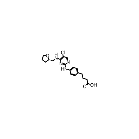 O=C(O)CCCc1ccc(Nc2ncc(Cl)c(NC[C@H]3CCCO3)n2)cc1